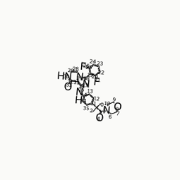 CC(C)(C(=O)N1CCOCC1)c1ccc(Nc2nc(-c3c(F)cccc3F)n3cc[nH]c(=O)c23)cc1